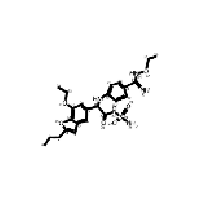 CCCc1cc2cc(C(Nc3ccc(C(=N)NOCC)cc3)C(=O)NS(N)(=O)=O)cc(OCC)c2o1